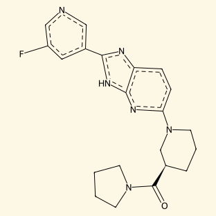 O=C([C@@H]1CCCN(c2ccc3nc(-c4cncc(F)c4)[nH]c3n2)C1)N1CCCC1